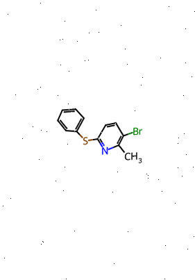 Cc1nc(Sc2ccccc2)ccc1Br